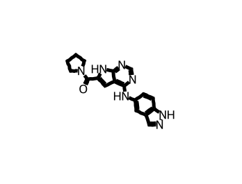 O=C(c1cc2c(Nc3ccc4[nH]ncc4c3)ncnc2[nH]1)N1CCCC1